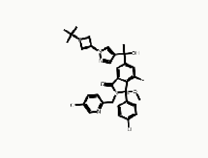 CO[C@]1(c2ccc(Cl)cc2)c2c(F)cc(C(C)(O)c3cnn(C4CN(C(C)(C)C)C4)c3)cc2C(=O)N1Cc1ccc(Cl)cn1